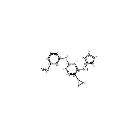 COc1cccc(Oc2nnc(C3CC3)c(Nc3cscn3)n2)c1